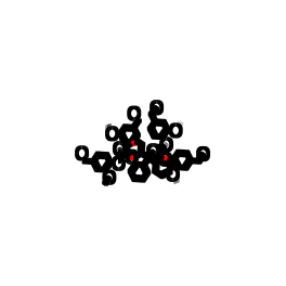 COc1cc(C=O)ccc1OP(Oc1ccc(C=O)cc1OC)Oc1ccccc1C(OP(Oc1ccc(C=O)cc1OC)Oc1ccc(C=O)cc1OC)(c1ccccc1)c1ccccc1